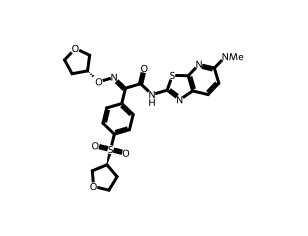 CNc1ccc2nc(NC(=O)/C(=N/O[C@@H]3CCOC3)c3ccc(S(=O)(=O)[C@H]4CCOC4)cc3)sc2n1